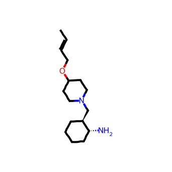 C/C=C/COC1CCN(C[C@@H]2CCCC[C@H]2N)CC1